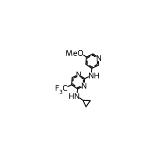 COc1cncc(Nc2ncc(C(F)(F)F)c(NC3CC3)n2)c1